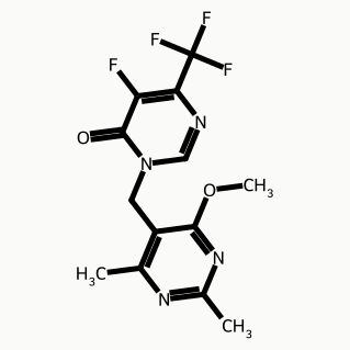 COc1nc(C)nc(C)c1Cn1cnc(C(F)(F)F)c(F)c1=O